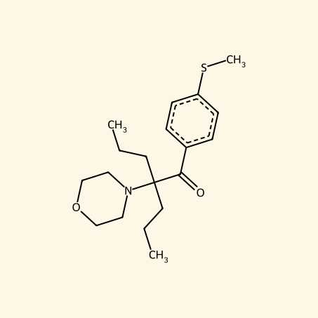 CCCC(CCC)(C(=O)c1ccc(SC)cc1)N1CCOCC1